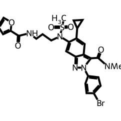 CNC(=O)c1c2cc(C3CC3)c(N(CCCNC(=O)c3ccco3)S(C)(=O)=O)cc2nn1-c1ccc(Br)cc1